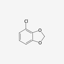 Clc1cccc2c1OCO2